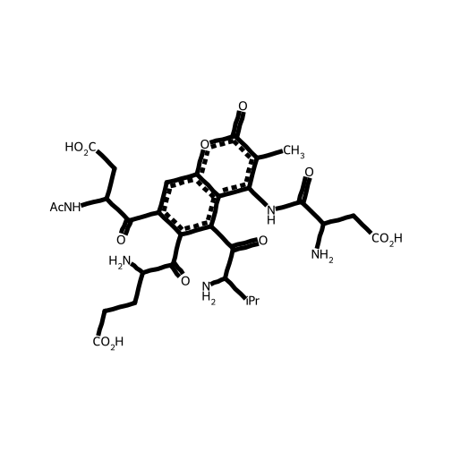 CC(=O)NC(CC(=O)O)C(=O)c1cc2oc(=O)c(C)c(NC(=O)C(N)CC(=O)O)c2c(C(=O)C(N)C(C)C)c1C(=O)C(N)CCC(=O)O